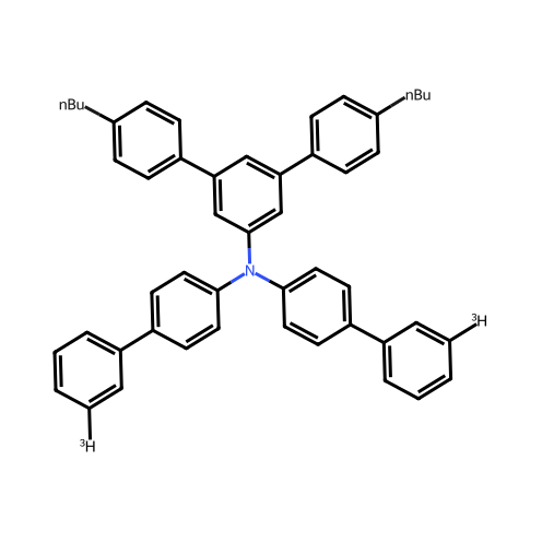 [3H]c1cccc(-c2ccc(N(c3ccc(-c4cccc([3H])c4)cc3)c3cc(-c4ccc(CCCC)cc4)cc(-c4ccc(CCCC)cc4)c3)cc2)c1